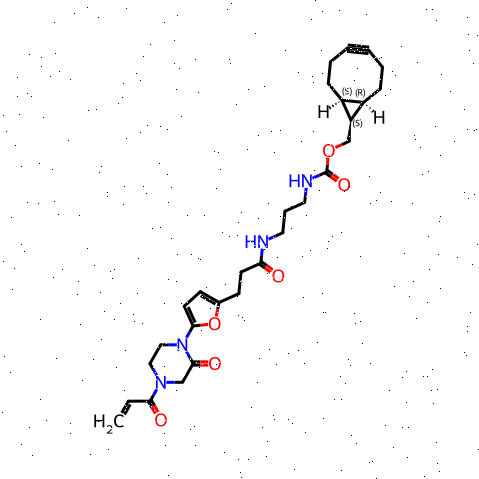 C=CC(=O)N1CCN(c2ccc(CCC(=O)NCCCNC(=O)OC[C@@H]3[C@@H]4CCC#CCC[C@@H]43)o2)C(=O)C1